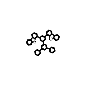 c1ccc(-c2cc(-c3ccccc3)cc(-c3cc(-c4cccc5c4oc4ccccc45)cc(-c4cccc5c4sc4ccccc45)c3)c2)cc1